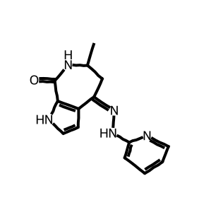 CC1C/C(=N/Nc2ccccn2)c2cc[nH]c2C(=O)N1